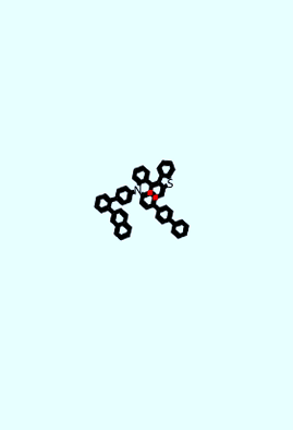 c1ccc(-c2ccc(-c3ccc(N(c4ccc(-c5ccccc5-c5ccc6ccccc6c5)cc4)c4ccccc4-c4cccc5sc6ccccc6c45)cc3)cc2)cc1